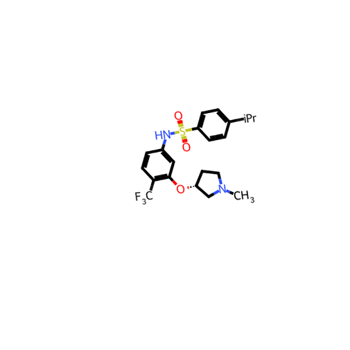 CC(C)c1ccc(S(=O)(=O)Nc2ccc(C(F)(F)F)c(O[C@@H]3CCN(C)C3)c2)cc1